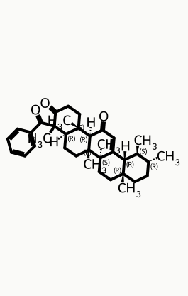 C[C@H]1[C@H](C)CC[C@]2(C)CC[C@]3(C)C(=CC(=O)[C@@H]4[C@@]5(C)CCC(=O)C(C)(C(=O)c6ccccc6)[C@@H]5CC[C@]43C)[C@H]12